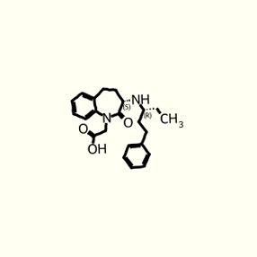 CC[C@H](CCc1ccccc1)N[C@H]1CCc2ccccc2N(CC(=O)O)C1=O